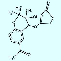 CC(=O)c1ccc2c(c1)C(OC1=CC(=O)CC1)C(C)(O)C(C)(C)O2